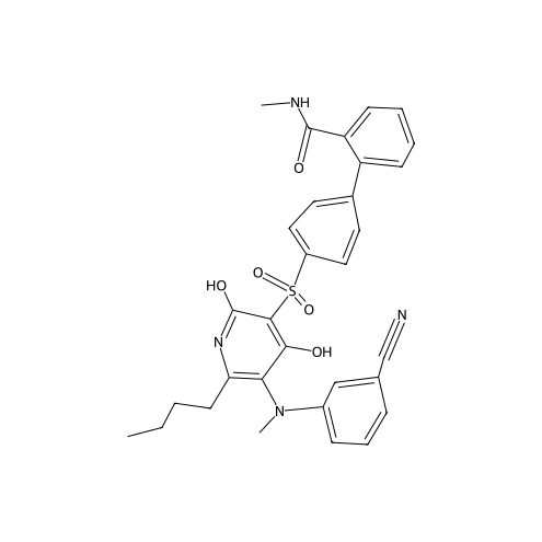 CCCCc1nc(O)c(S(=O)(=O)c2ccc(-c3ccccc3C(=O)NC)cc2)c(O)c1N(C)c1cccc(C#N)c1